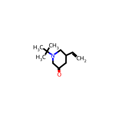 C=CC1CC(=O)CN(C(C)(C)C)C1